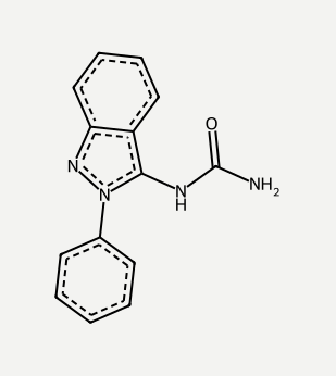 NC(=O)Nc1c2ccccc2nn1-c1ccccc1